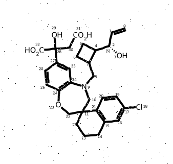 C=C[C@H](O)C1CCC1CN1CC2(CCCc3cc(Cl)ccc32)COc2ccc(C(O)(CC(=O)O)C(=O)O)cc21